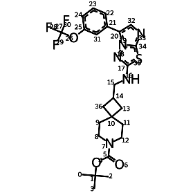 CC(C)(C)OC(=O)N1CCC2(CC1)CC(CNc1nn3c(-c4cccc(OC(F)(F)F)c4)cnc3s1)C2